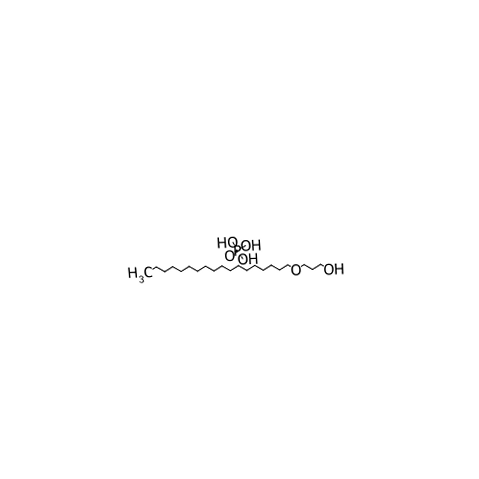 CCCCCCCCCCCCCCCCCCOCCCO.O=P(O)(O)O